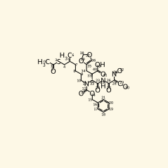 CC(=O)SCC(C)CCCCN(C(=O)OCc1ccccc1)[C@H](C(=O)NC(=O)C(=C=O)N=O)C(CC1=COCO1)C(=O)O